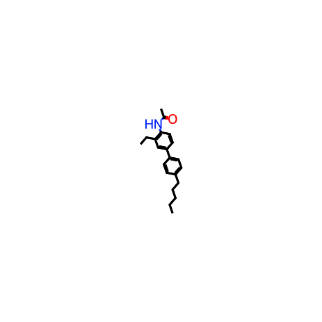 CCCCCc1ccc(-c2ccc(NC(C)=O)c(CC)c2)cc1